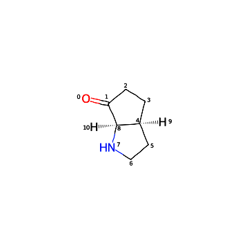 O=C1CC[C@H]2CCN[C@@H]12